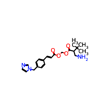 CC(C)(C)C(CN)C(=O)OCOC(=O)/C=C/c1ccc(Cn2ccnc2)cc1